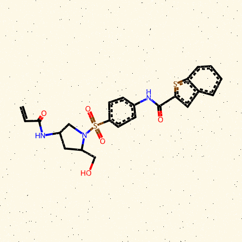 C=CC(=O)NC1CC(CO)N(S(=O)(=O)c2ccc(NC(=O)c3cc4ccccc4s3)cc2)C1